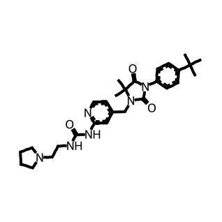 CC(C)(C)c1ccc(N2C(=O)N(Cc3ccnc(NC(=O)NCCN4CCCC4)c3)C(C)(C)C2=O)cc1